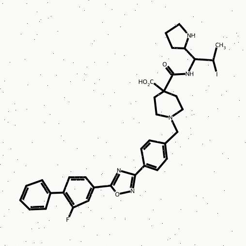 CC(I)C(NC(=O)C1(C(=O)O)CCN(Cc2ccc(-c3noc(-c4ccc(-c5ccccc5)c(F)c4)n3)cc2)CC1)C1CCCN1